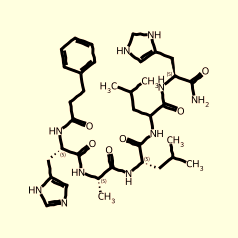 CC(C)CC(NC(=O)[C@H](CC(C)C)NC(=O)[C@H](C)NC(=O)[C@H](Cc1cnc[nH]1)NC(=O)CCc1ccccc1)C(=O)N[C@@H](CC1=CNCN1)C(N)=O